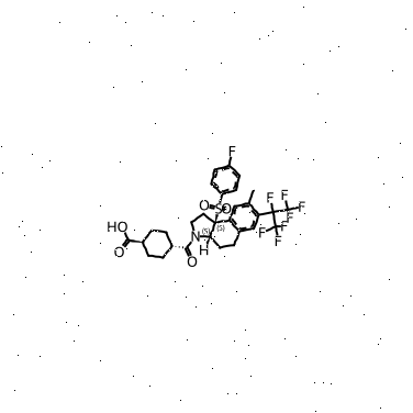 Cc1cc2c(cc1C(F)(C(F)(F)F)C(F)(F)F)CC[C@@H]1N(C(=O)[C@H]3CC[C@H](C(=O)O)CC3)CC[C@]21S(=O)(=O)c1ccc(F)cc1